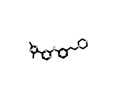 Cc1nc(C)c(-c2ccnc(Nc3cccc(CCN4CCOCC4)c3)n2)s1